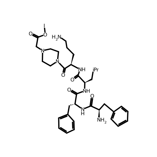 CC(C)C[C@@H](NC(=O)[C@@H](Cc1ccccc1)NC(=O)[C@H](N)Cc1ccccc1)C(=O)N[C@H](CCCN)C(=O)N1CCN(CC(=O)OI)CC1